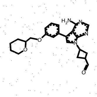 Nc1ncnc2c1c(-c1cccc(OCC3CCCCO3)c1)cn2C1CC(C=O)C1